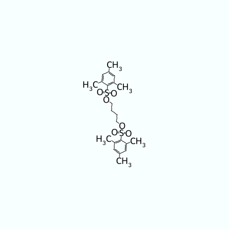 Cc1cc(C)c(S(=O)(=O)OCCCCOS(=O)(=O)c2c(C)cc(C)cc2C)c(C)c1